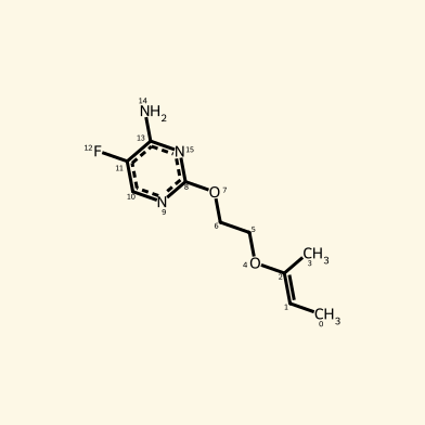 C/C=C(\C)OCCOc1ncc(F)c(N)n1